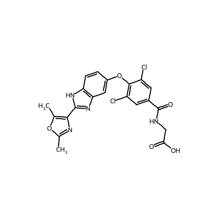 Cc1nc(-c2nc3cc(Oc4c(Cl)cc(C(=O)NCC(=O)O)cc4Cl)ccc3[nH]2)c(C)o1